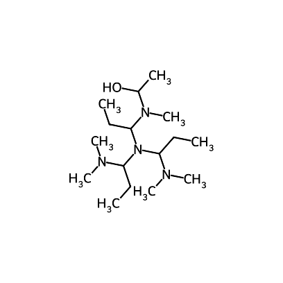 CCC(N(C)C)N(C(CC)N(C)C)C(CC)N(C)C(C)O